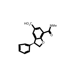 CNC(=O)c1cc(C(=O)O)cc2c1OC[C@H]2c1ccccc1